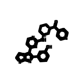 O=C(c1ccncc1)N1CCC[C@@H](Nc2nccc(-c3c(-c4cccc(O)c4)nc4sccn34)n2)C1